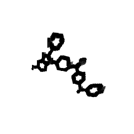 CN(c1ccncc1)c1ccc(C(=O)N2CCC(n3c(-c4ccccn4)nc4cc(F)ccc43)CC2)cc1